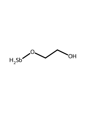 OCC[O][SbH2]